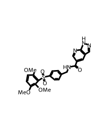 COc1ccc(OC)c(S(=O)(=O)c2ccc(CNC(=O)c3cnc4[nH]ncc4c3)cc2)c1OC